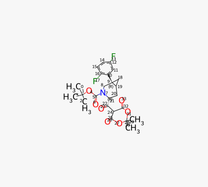 CC(C)(C)OC(=O)N1C[C@]2(c3cc(F)ccc3F)CC2C[C@@H]1C(=O)C1C(=O)OC(C)(C)OC1=O